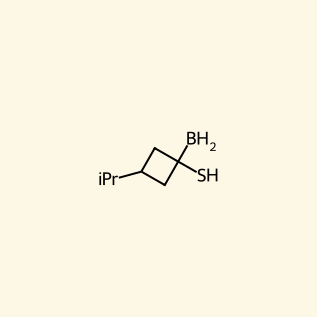 BC1(S)CC(C(C)C)C1